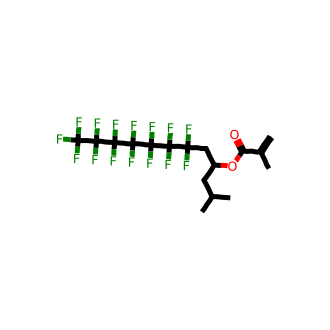 C=C(C)C(=O)OC(CC(C)C)CC(F)(F)C(F)(F)C(F)(F)C(F)(F)C(F)(F)C(F)(F)C(F)(F)F